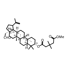 C=C(C)C1CC[C@]2(CC=O)CC[C@]3(C)[C@H](CC[C@@H]4[C@@]5(C)CC[C@H](OC(=O)CC(C)(C)CC(=O)OC)C(C)(C)[C@@H]5CC[C@]43C)[C@@H]12